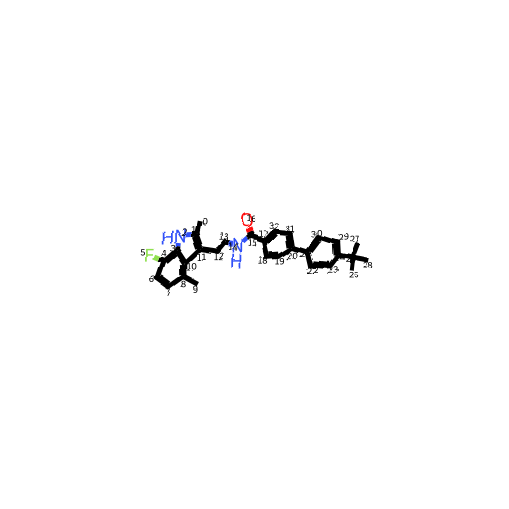 Cc1[nH]c2c(F)ccc(C)c2c1CCNC(=O)c1ccc(-c2ccc(C(C)(C)C)cc2)cc1